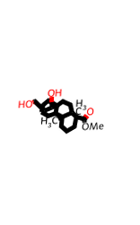 COC(=O)C1(C)CCCC2(C)C1CCC13CCC(CC21)C(CO)C3O